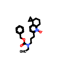 O=CCN(CCCc1ccc2c([n+]1[O-])CCCC21CC1)C(=O)OCc1ccccc1